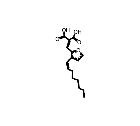 CCCCCC/C=C\c1ccoc1C=C(C(=O)O)C(=O)O